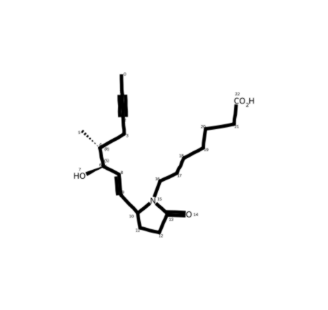 CC#CC[C@@H](C)[C@H](O)C=CC1CCC(=O)N1CCCCCCC(=O)O